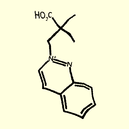 CC(C)(C[n+]1ccc2ccccc2n1)C(=O)O